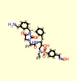 CC(C)CN(C[C@@H](O)[C@H](Cc1ccccc1)NC(=O)[C@H](C(C)C)N1CC(=O)N(Cc2cccc(CN)c2)C1=O)S(=O)(=O)c1ccc(C=NO)cc1